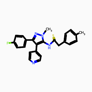 Cc1ccc(CC(=S)Nc2c(-c3ccncc3)c(-c3ccc(F)cc3)nn2C)cc1